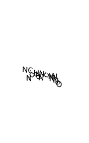 CN(C)c1cc(C#N)cc(-c2ccnc(Nc3ccc(-n4cnc(N5CCOCC5)n4)cc3)n2)c1